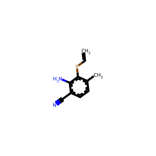 C=CSc1c(C)ccc(C#N)c1N